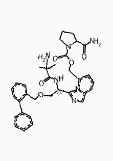 CC(C)(N)C(=O)N[C@H](COCc1ccccc1-c1ccccc1)c1ncc2cccc(COC(=O)N3CCCC3C(N)=O)n12